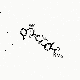 CNC(=O)c1ccc(C[C@@H](CNC(=O)C[C@H](c2cncc(F)c2)C(C)(C)C)N(C)C)cc1F